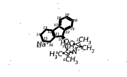 C[Si](C)(C)[N-][Si](C)(C)C.O=C1C2=C(CCCC2)c2ccccc21.[Na+]